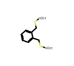 CCCCCCCCSCc1ccccc1CSCCCCCCCC